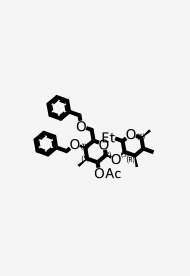 CCC1O[C@@H](C)C(C)[C@@H](C)[C@@H]1O[C@@H]1OC(COCc2ccccc2)[C@H](OCc2ccccc2)[C@H](C)C1OC(C)=O